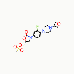 CS(=O)(=O)OC[C@H]1CN(c2ccc(N3CCN(C4COC4)CC3)c(F)c2)C(=O)O1